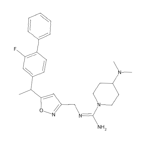 CC(c1ccc(-c2ccccc2)c(F)c1)c1cc(C/N=C(/N)N2CCC(N(C)C)CC2)no1